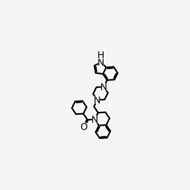 O=C(C1CC=CCC1)N1c2ccccc2CCC1CN1CCN(c2cccc3[nH]ccc23)CC1